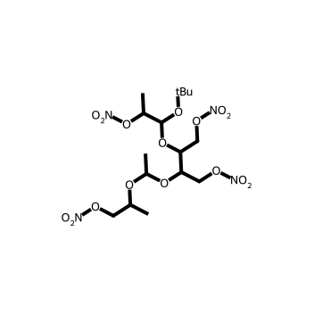 CC(CO[N+](=O)[O-])OC(C)OC(CO[N+](=O)[O-])C(CO[N+](=O)[O-])OC(OC(C)(C)C)C(C)O[N+](=O)[O-]